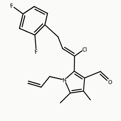 C=CCn1c(C)c(C)c(C=O)c1C(Cl)=CCc1ccc(F)cc1F